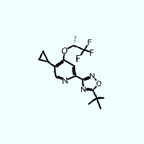 C[C@@H](Oc1cc(-c2noc(C(C)(C)C)n2)ncc1C1CC1)C(F)(F)F